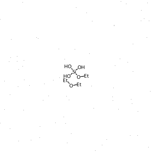 CCOCC.CCO[Si](O)(O)O